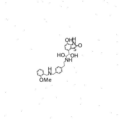 COc1ccccc1CNCc1ccc(CCNC(O)C(O)c2ccc(O)c3[nH]c(=O)sc23)cc1